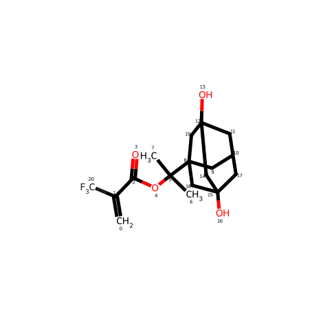 C=C(C(=O)OC(C)(C)C12CC3CC(O)(CC(O)(C3)C1)C2)C(F)(F)F